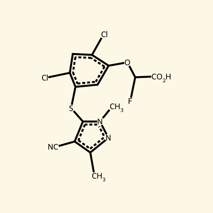 Cc1nn(C)c(Sc2cc(OC(F)C(=O)O)c(Cl)cc2Cl)c1C#N